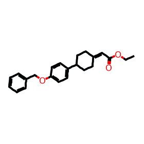 CCOC(=O)C=C1CCC(c2ccc(OCc3ccccc3)cc2)CC1